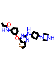 C=CC(=O)Nc1cccc(Oc2nc(Nc3ccc(N4CCNCC4)cc3)nc3ccsc23)c1